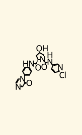 O=C(Nc1ccc(-n2ccncc2=O)cc1)[C@H]1C[C@H](O)CN1C(=O)Nc1ccc(Cl)nc1